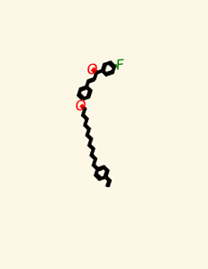 C=Cc1ccc(CCCCCCCCCCCCOc2ccc(C=CC(=O)c3ccc(F)cc3)cc2)cc1